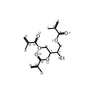 C=C(C)C(=O)OCC(CC)C(COC(=O)C(=C)C)OC(=O)C(=C)C